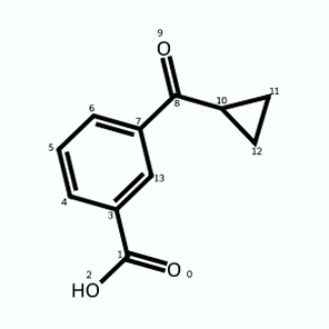 O=C(O)c1cccc(C(=O)C2CC2)c1